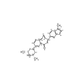 C[C@@H]1CN(C2=CN3C(=O)\C=C(c4ccc5c(cnn5C)c4)/C=C/C=C/3C=C2)C[C@H](C)N1